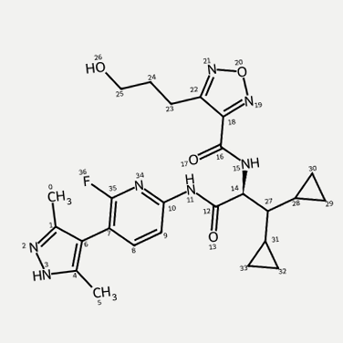 Cc1n[nH]c(C)c1-c1ccc(NC(=O)[C@@H](NC(=O)c2nonc2CCCO)C(C2CC2)C2CC2)nc1F